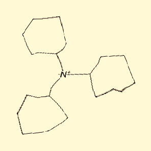 C1CCC([N+](C2CCCCC2)C2CCCCC2)CC1